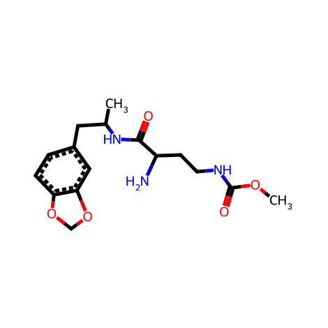 COC(=O)NCCC(N)C(=O)NC(C)Cc1ccc2c(c1)OCO2